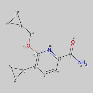 NC(=O)c1ccc(C2CC2)c(OCC2CC2)n1